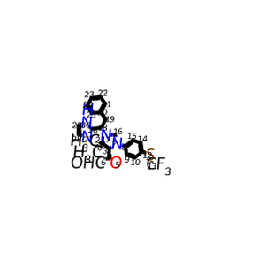 CC1(C)C(C(=O)C=O)N(c2ccc(SC(F)(F)F)cc2)CN1C(Cc1ccccc1)c1ncc[nH]1